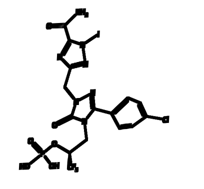 NC(=O)c1nc(Cn2nc(-c3ccc(Cl)cc3)n(C[C@H](OP(=O)(O)O)C(F)(F)F)c2=O)nn1I